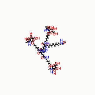 CC(=O)NC1C(OCCCCCCNC(=O)CCC(NC(=O)CCC(NC(=O)CCCCCCCCCNC=O)C(=O)NCCCCCCOC2OC(CO)C(O)C(O)C2NC(C)=O)C(=O)NCCCCCCOC2OC(CO)C(O)C(O)C2NC(C)=O)OC(CO)C(O)C1O